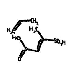 C=CC.CC(=CS(=O)O)S(=O)(=O)O